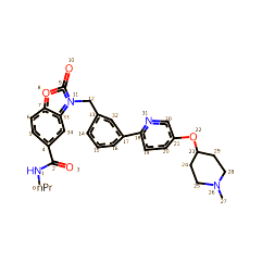 CCCNC(=O)c1ccc2oc(=O)n(Cc3cccc(-c4ccc(OC5CCN(C)CC5)cn4)c3)c2c1